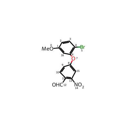 COc1ccc(Br)c(Oc2ccc(C=O)c([N+](=O)[O-])c2)c1